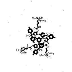 CO[Si](O)(CCCNC(=O)O[C@@H]1C[C@@H](C(O)(c2ccc(C)cc2)c2ccc(C)cc2)N(C(=O)c2cc(C(=O)N3C[C@H](OC(=O)NCCC[Si](O)(OC)OC)C[C@H]3C(O)(c3ccc(C)cc3)c3ccc(C)cc3)cc(C(=O)N3C[C@H](OC(=O)NCCC[Si](O)(OC)OC)C[C@H]3C(O)(c3ccc(C)cc3)c3ccc(C)cc3)c2)C1)OC